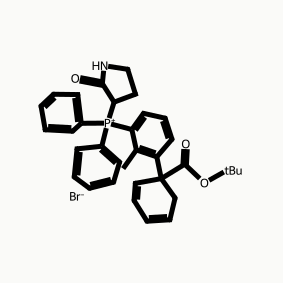 Cc1c(C2(C(=O)OC(C)(C)C)C=CC=CC2)cccc1[P+](c1ccccc1)(c1ccccc1)C1CCNC1=O.[Br-]